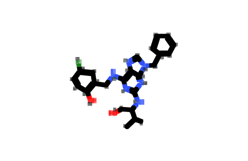 CC(C)C(CO)Nc1nc(NCc2cc(Cl)ccc2O)c2ncn(Cc3ccccc3)c2n1